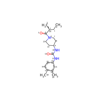 CC[C@H](C)C(=O)N1CCC(NC(=O)Nc2ccc(C)c(C)c2)CC1